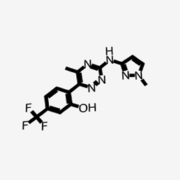 Cc1nc(Nc2ccn(C)n2)nnc1-c1ccc(C(F)(F)F)cc1O